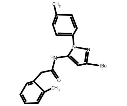 Cc1ccc(-n2nc(C(C)(C)C)cc2NC(=O)Cc2ccccc2C)cc1